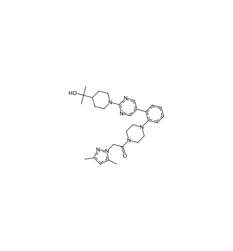 Cc1cc(C)n(CC(=O)N2CCN(c3ccccc3-c3cnc(N4CCC(C(C)(C)O)CC4)nc3)CC2)n1